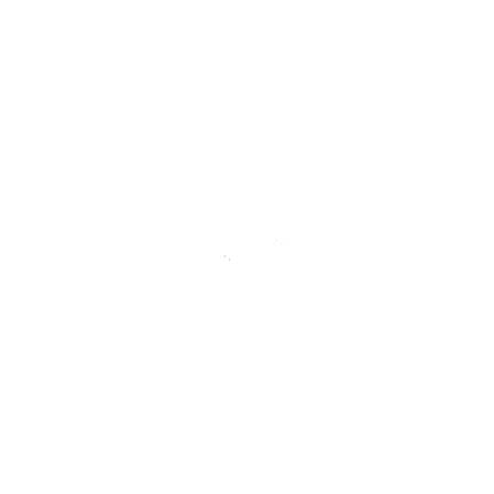 CCN(Cc1ccccc1)c1nc(=O)c2ccccc2s1